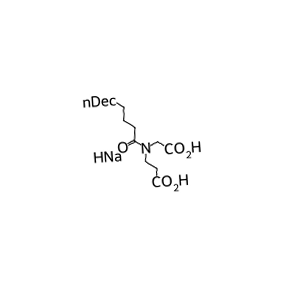 CCCCCCCCCCCCCC(=O)N(CCC(=O)O)CC(=O)O.[NaH]